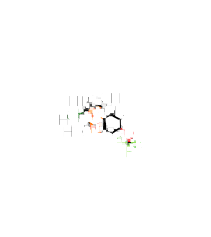 CC(C)(C)[PH](c1ccc(OC(F)(F)F)cc1)([CH](Cl)[Pd])C(C)(C)C